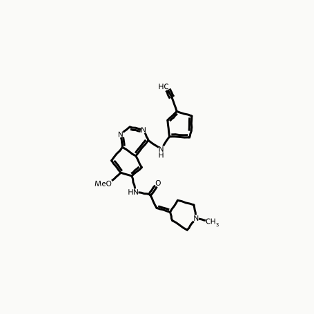 C#Cc1cccc(Nc2ncnc3cc(OC)c(NC(=O)C=C4CCN(C)CC4)cc23)c1